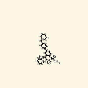 CC(=O)N1c2ccc(-c3ccc(CN4CCCCC4)cc3)cc2[C@@H](Nc2ccccn2)C[C@H]1C